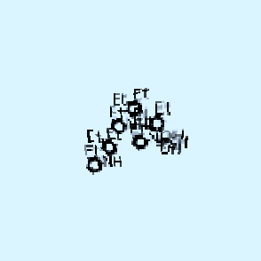 CCc1ccc(Nc2ccccc2)c(CC)c1CC.CCc1ccc(Nc2ccccc2)c(CC)c1CC.CCc1ccc(Nc2ccccc2)c(CC)c1CC.OP(O)(=S)S